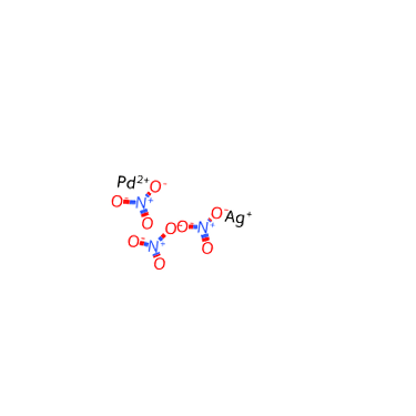 O=[N+]([O-])[O-].O=[N+]([O-])[O-].O=[N+]([O-])[O-].[Ag+].[Pd+2]